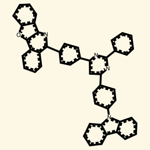 c1ccc(-c2nc(-c3ccc(-c4nc5c6ccccc6oc5c5ccccc45)cc3)cc(-c3ccc(-n4c5ccccc5c5ccccc54)cc3)n2)cc1